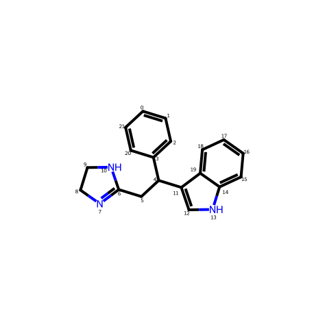 c1ccc(C(CC2=NCCN2)c2c[nH]c3ccccc23)cc1